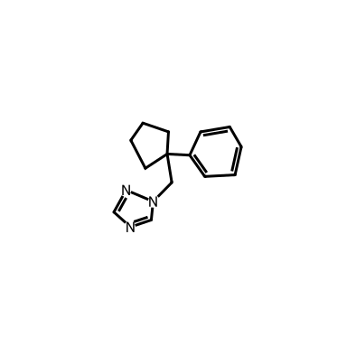 c1ccc(C2(Cn3cncn3)CCCC2)cc1